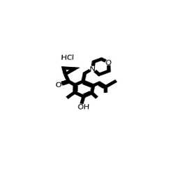 CC(C)=Cc1c(C)c(O)c(C)c(C(=O)C2CC2)c1CN1CCOCC1.Cl